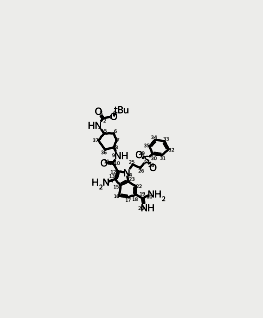 CC(C)(C)OC(=O)NC1CCC(NC(=O)c2c(N)c3ccc(C(=N)N)cc3n2CCS(=O)(=O)c2ccccc2)CC1